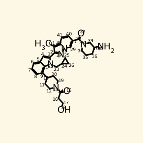 Cc1c(-c2cc3cccc(C4CCN(C(=O)CCO)CC4)c3n2CC2CC2)nn2cc(C(=O)N3CCCC(N)C3)ccc12